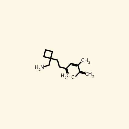 C=C(/C=C(/C)C(=C)Cl)CCC1(CN)CCC1